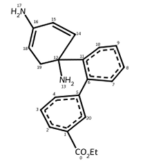 CCOC(=O)c1cccc(-c2ccccc2C2(N)C=CC(N)=CC2)c1